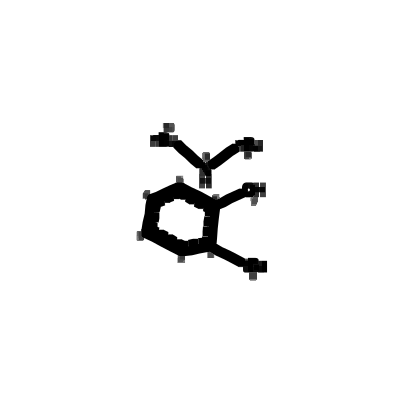 CC(C)(C)c1ccccc1O.CCCCNCCCC